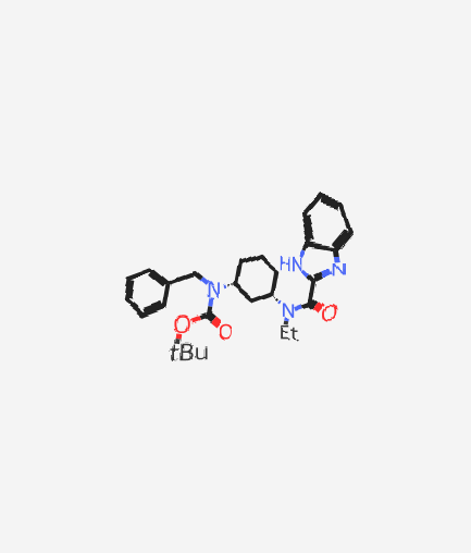 CCN(C(=O)c1nc2ccccc2[nH]1)[C@H]1CCC[C@@H](N(Cc2ccccc2)C(=O)OC(C)(C)C)C1